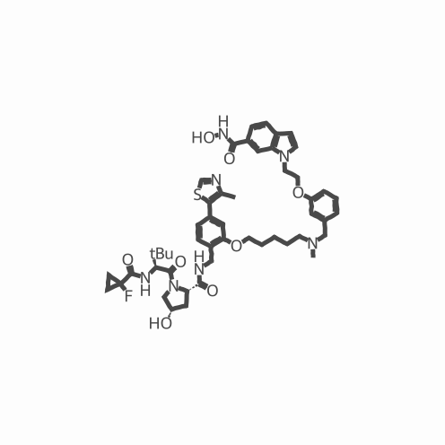 Cc1ncsc1-c1ccc(CNC(=O)[C@@H]2C[C@H](O)CN2C(=O)[C@@H](NC(=O)C2(F)CC2)C(C)(C)C)c(OCCCCCN(C)Cc2cccc(OCCn3ccc4ccc(C(=O)NO)cc43)c2)c1